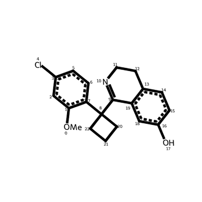 COc1cc(Cl)ccc1C1(C2=NCCc3ccc(O)cc32)CCC1